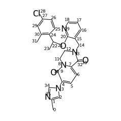 Cc1cn(-c2ccc3n(c2=O)CCN(Cc2cccnc2OC(C)c2ccc(Cl)cc2C)C3=O)cn1